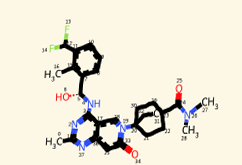 Cc1nc(N[C@H](O)c2cccc(C(F)F)c2C)c2cn(C34CCC(C(=O)N(C)C)(CC3)CC4)c(=O)cc2n1